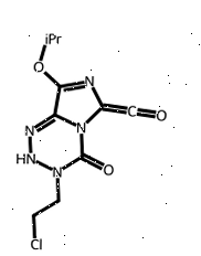 CC(C)Oc1nc(=C=O)n2c1=NNN(CCCl)C2=O